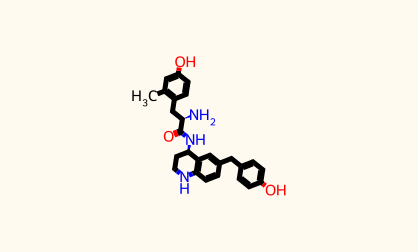 Cc1cc(O)ccc1C[C@H](N)C(=O)N[C@@H]1CCNc2ccc(Cc3ccc(O)cc3)cc21